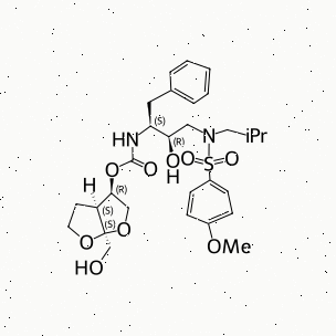 COc1ccc(S(=O)(=O)N(CC(C)C)C[C@@H](O)[C@H](Cc2ccccc2)NC(=O)O[C@H]2CO[C@@]3(CO)OCC[C@@H]23)cc1